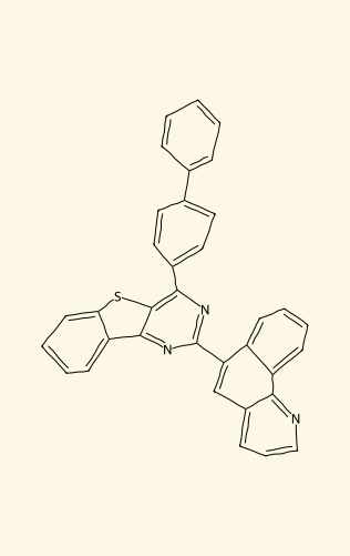 c1ccc(-c2ccc(-c3nc(-c4cc5cccnc5c5ccccc45)nc4c3sc3ccccc34)cc2)cc1